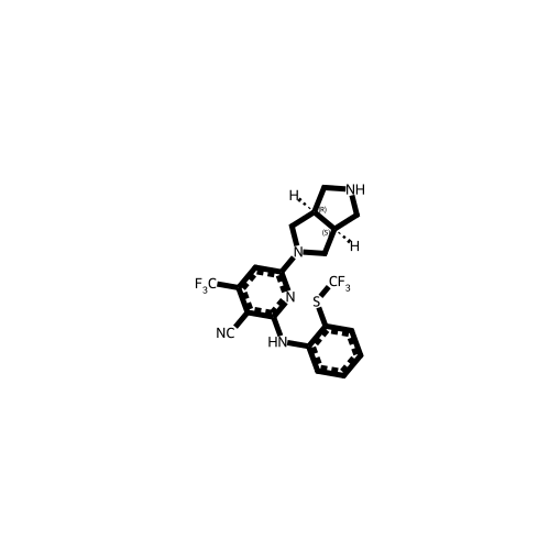 N#Cc1c(C(F)(F)F)cc(N2C[C@H]3CNC[C@H]3C2)nc1Nc1ccccc1SC(F)(F)F